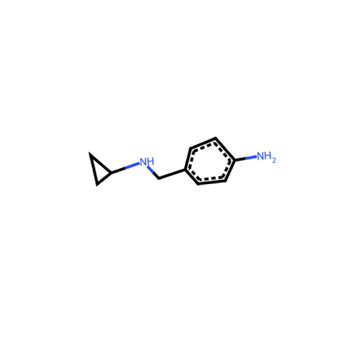 Nc1ccc(CNC2CC2)cc1